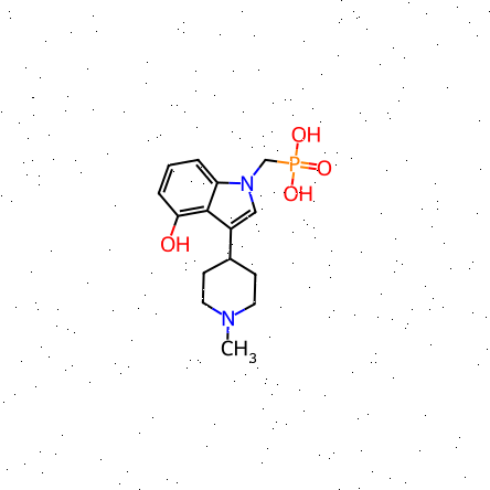 CN1CCC(c2cn(CP(=O)(O)O)c3cccc(O)c23)CC1